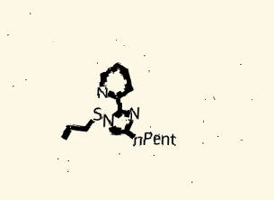 C=CCSn1cc(CCCCC)nc1-c1ccccn1